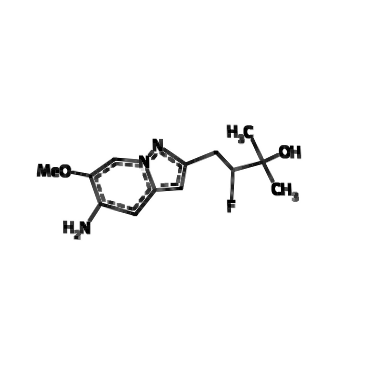 COc1cn2nc(CC(F)C(C)(C)O)cc2cc1N